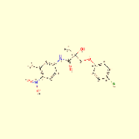 Cc1cc(NC(=O)[C@@](C)(O)COc2ccc(Br)cc2)ccc1[N+](=O)[O-]